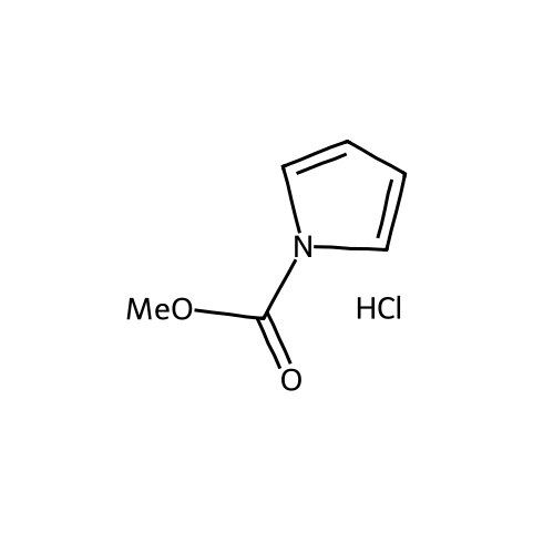 COC(=O)n1cccc1.Cl